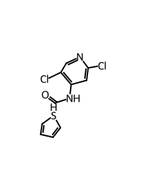 O=C(Nc1cc(Cl)ncc1Cl)[SH]1C=CC=C1